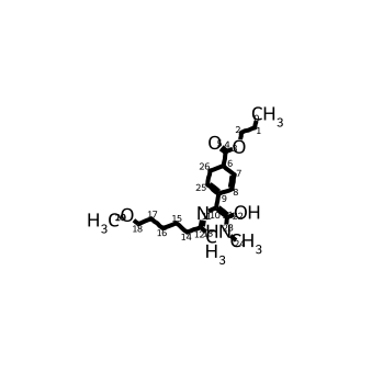 CCCOC(=O)C1C=CC(C(/N=C(\C)CCCCCOC)=C(\O)NC)=CC1